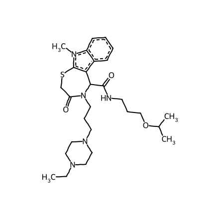 CCN1CCN(CCCN2C(=O)CSc3c(c4ccccc4n3C)C2C(=O)NCCCOC(C)C)CC1